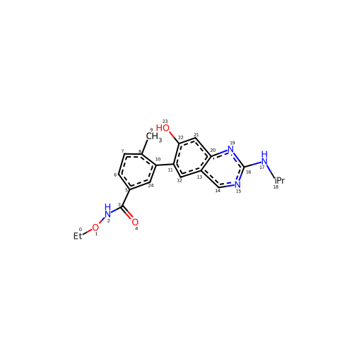 CCONC(=O)c1ccc(C)c(-c2cc3cnc(NC(C)C)nc3cc2O)c1